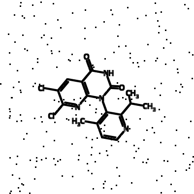 Cc1ccnc(C(C)C)c1-n1c(=O)[nH]c(=O)c2cc(Cl)c(Cl)nc21